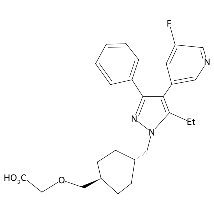 CCc1c(-c2cncc(F)c2)c(-c2ccccc2)nn1C[C@H]1CC[C@H](COCC(=O)O)CC1